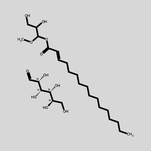 CCCCCCCCCCCCCC=CC(=O)OC(OC)C(O)CO.O=C[C@H](O)[C@@H](O)[C@H](O)[C@H](O)CO